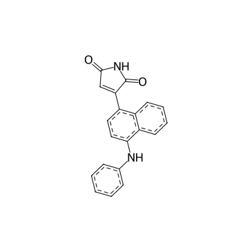 O=C1C=C(c2ccc(Nc3ccccc3)c3ccccc23)C(=O)N1